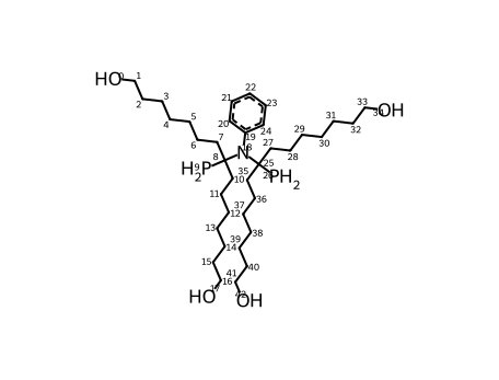 OCCCCCCCC(P)(CCCCCCCO)N(c1ccccc1)C(P)(CCCCCCCO)CCCCCCCO